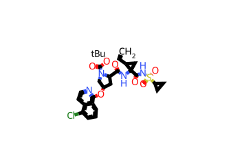 C=CC1CC1(NC(=O)C1CC(Oc2nccc3c(Cl)cccc23)CN1C(=O)OC(C)(C)C)C(=O)NS(=O)(=O)C1CC1